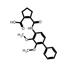 COc1c(NC(=O)C2=C(C(=O)O)CCC2)ccc(-c2ccccc2)c1OC